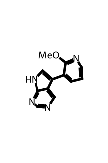 COc1ncccc1-c1c[nH]c2ncncc12